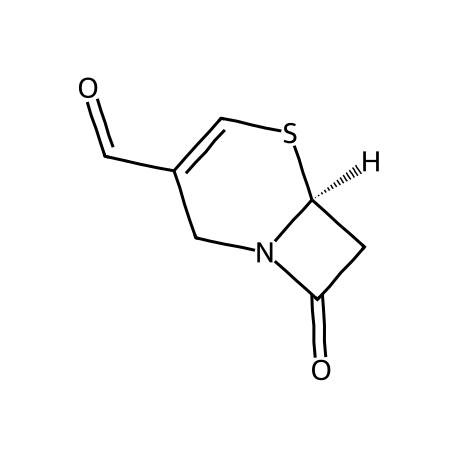 O=CC1=CS[C@H]2CC(=O)N2C1